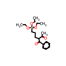 CCO[Si](CCCC(C(C)=O)C(=O)c1ccccc1)(OCC)OCC